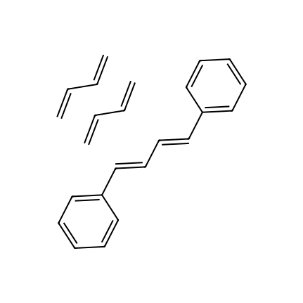 C(C=Cc1ccccc1)=Cc1ccccc1.C=CC=C.C=CC=C